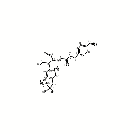 C=C[C@@H](C(=C/C(=O)NCC1=CC=C(C=O)CS1)/N=C/CCCC(F)(F)P)C(CC)CC=CCl